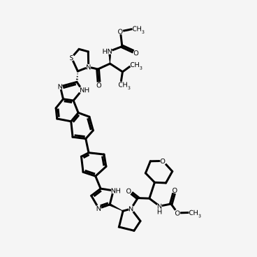 COC(=O)NC(C(=O)N1CCC[C@H]1c1ncc(-c2ccc(-c3ccc4c(ccc5nc([C@@H]6SCCN6C(=O)[C@@H](NC(=O)OC)C(C)C)[nH]c54)c3)cc2)[nH]1)C1CCOCC1